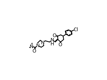 CN(C)C(=O)N1CCN(CCNC=C2C(=O)CC(c3ccc(Cl)cc3)CC2=O)CC1